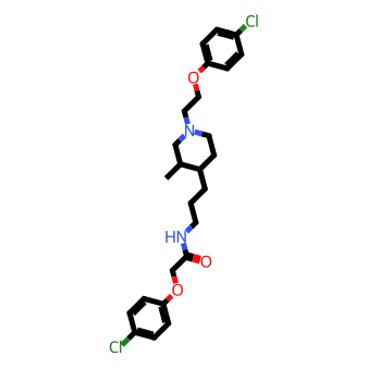 CC1CN(CCOc2ccc(Cl)cc2)CCC1CCCNC(=O)COc1ccc(Cl)cc1